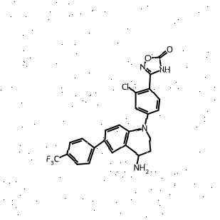 NC1CCN(c2ccc(-c3noc(=O)[nH]3)c(Cl)c2)c2ccc(-c3ccc(C(F)(F)F)cc3)cc21